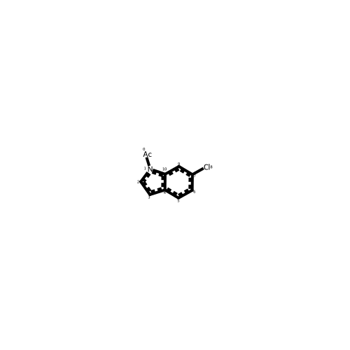 CC(=O)n1ccc2ccc(Cl)cc21